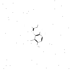 CC(CC(C)C)=Nc1c(Cl)ccc(O)c1Cl.Cl